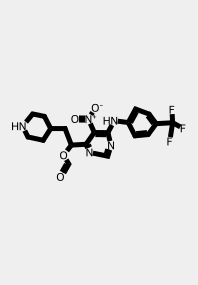 O=COC(CC1CCNCC1)c1ncnc(Nc2ccc(C(F)(F)F)cc2)c1[N+](=O)[O-]